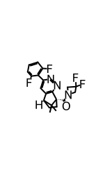 CC1(C)[C@H]2CC[C@]1(C(=O)N1CC(F)(F)C1)c1nnc(-c3c(F)cccc3F)cc12